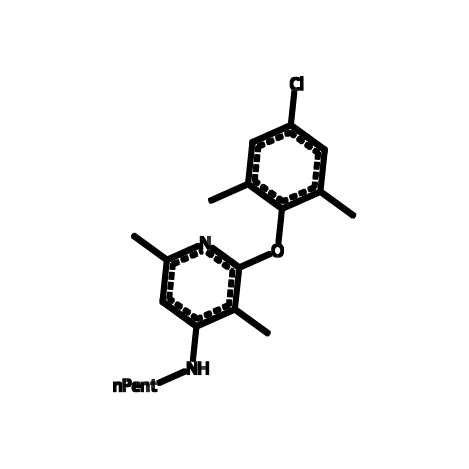 CCCCCNc1cc(C)nc(Oc2c(C)cc(Cl)cc2C)c1C